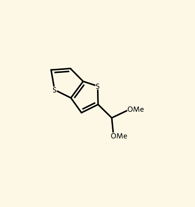 COC(OC)c1cc2sccc2s1